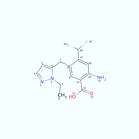 CCn1nccc1Cc1cc(C(=O)O)c(N)cc1C(F)F